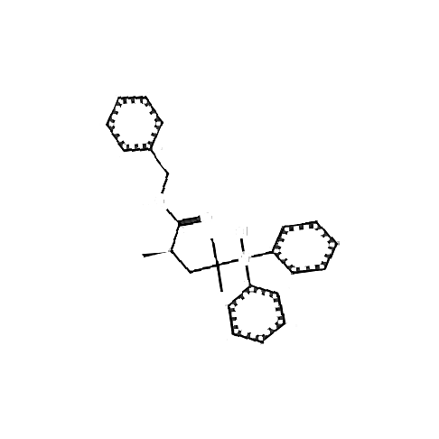 C[C@H](CC(C)(C)[Si](O)(c1ccccc1)c1ccccc1)C(=O)OCc1ccccc1